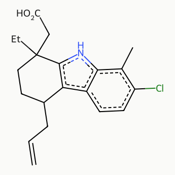 C=CCC1CCC(CC)(CC(=O)O)c2[nH]c3c(C)c(Cl)ccc3c21